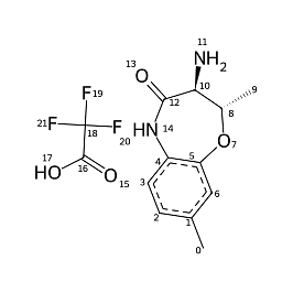 Cc1ccc2c(c1)O[C@@H](C)[C@H](N)C(=O)N2.O=C(O)C(F)(F)F